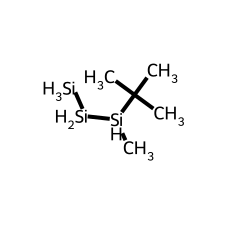 C[SiH]([SiH2][SiH3])C(C)(C)C